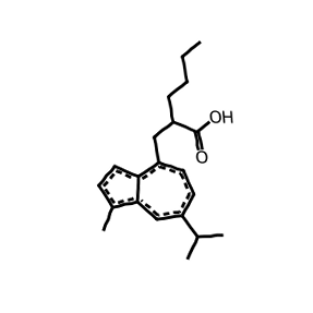 CCCCC(Cc1ccc(C(C)C)cc2c(C)ccc1-2)C(=O)O